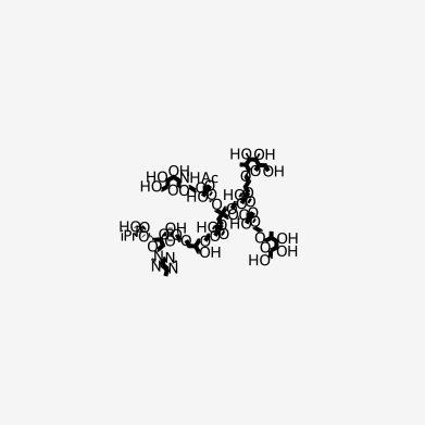 CC(=O)NC1[C@H](OCCOP(=O)(O)OCOCC(COCOP(=O)(O)OCCO[C@@H]2OC(CO)[C@H](O)[C@H](O)C2C)(COCOP(=O)(O)OCCO[C@@H]2OC(CO)[C@H](O)[C@H](O)C2C)COP(=O)(O)OCOCC(CO)COCOP(=O)(O)O[C@H]2C[C@H](n3cnc4c(C)ncnc43)O[C@@H]2COP(=O)(O)C(C)C)OC(CO)[C@H](O)[C@@H]1O